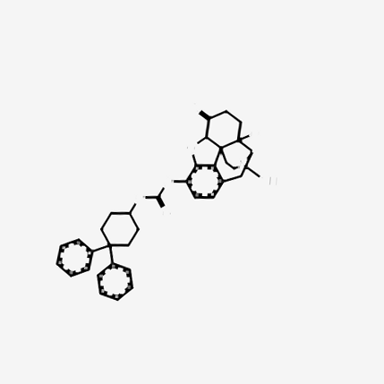 CN1CCC23c4c5ccc(OC(=O)OC6CCC(c7ccccc7)(c7ccccc7)CC6)c4OC2C(=O)CCC3(O)C1C5